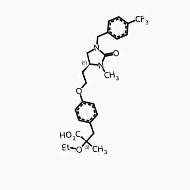 CCO[C@@](C)(Cc1ccc(OCC[C@H]2CN(Cc3ccc(C(F)(F)F)cc3)C(=O)N2C)cc1)C(=O)O